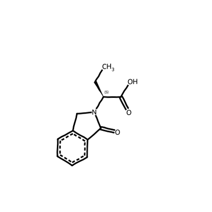 CC[C@@H](C(=O)O)N1Cc2ccccc2C1=O